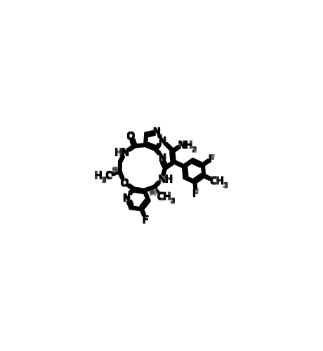 Cc1c(F)cc(-c2c3nc4c(cnn4c2N)C(=O)NC[C@H](C)Oc2ncc(F)cc2[C@@H](C)N3)cc1F